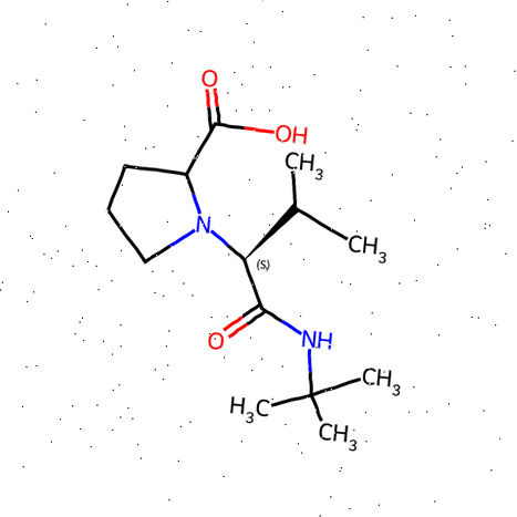 CC(C)[C@@H](C(=O)NC(C)(C)C)N1CCCC1C(=O)O